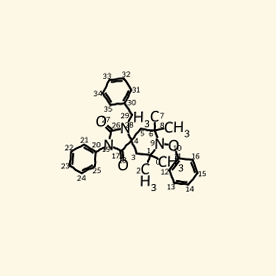 CC1(C)CC2(CC(C)(C)N1Oc1ccccc1)C(=O)N(c1ccccc1)C(=O)N2Cc1ccccc1